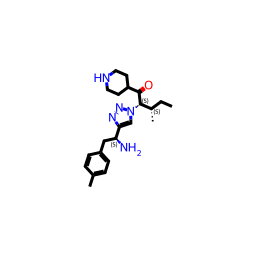 CC[C@H](C)[C@@H](C(=O)C1CCNCC1)n1cc([C@@H](N)Cc2ccc(C)cc2)nn1